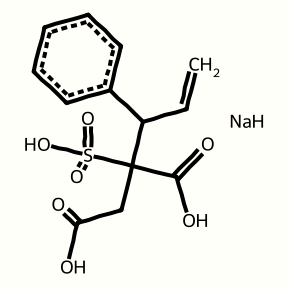 C=CC(c1ccccc1)C(CC(=O)O)(C(=O)O)S(=O)(=O)O.[NaH]